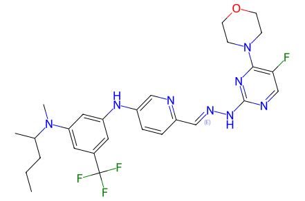 CCCC(C)N(C)c1cc(Nc2ccc(/C=N/Nc3ncc(F)c(N4CCOCC4)n3)nc2)cc(C(F)(F)F)c1